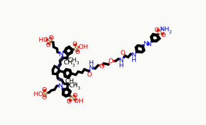 CC1(C)C(/C=C/C2=C(c3ccc(CCCCC(=O)NCCOCCOCCNC(=O)CCNc4ccc(/N=N/c5ccc(S(N)(=O)=O)cc5)cc4)cc3)C(=C/C=C3/N(CCCCS(=O)(=O)O)c4ccc(S(=O)(=O)O)cc4C3(C)C)/CCC2)=[N+](CCCCS(=O)(=O)O)c2ccc(S(=O)(=O)O)cc21